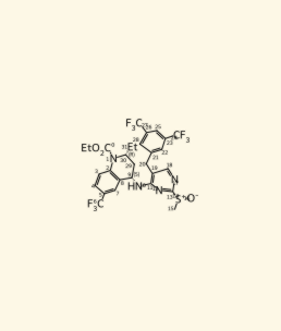 CCOC(=O)N1c2ccc(C(F)(F)F)cc2[C@@H](Nc2nc([S+](C)[O-])ncc2Cc2cc(C(F)(F)F)cc(C(F)(F)F)c2)C[C@H]1CC